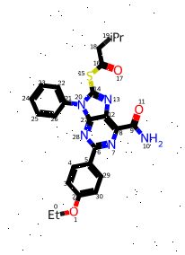 CCOc1ccc(-c2nc(C(N)=O)c3nc(SC(=O)CC(C)C)n(-c4ccccc4)c3n2)cc1